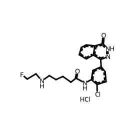 Cl.O=C(CCCCNCCF)Nc1cc(-c2n[nH]c(=O)c3ccccc23)ccc1Cl